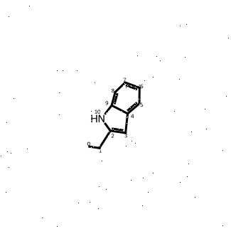 CCc1cc2c[c]ccc2[nH]1